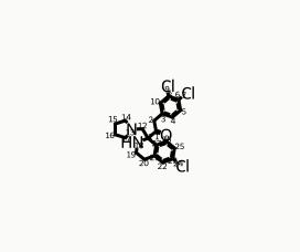 O=C(Cc1ccc(Cl)c(Cl)c1)C1(CN2CCCC2)NCCc2cc(Cl)ccc21